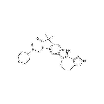 CC1(C)C(=O)N(CC(=O)N2CCOCC2)c2cc3c4c([nH]c3cc21)-c1n[nH]cc1CCC4